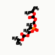 CC(C)OC(=O)OCOP(=O)(OCOC(=O)OC(C)C)C(C)C